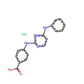 Cl.O=C(O)c1ccc(Nc2nccc(Nc3ccccc3)n2)cc1